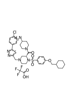 NC1CCN(C(=O)[C@@H]2CN(Cc3nnc(-c4ccc(Cl)cc4)s3)CCN2S(=O)(=O)c2ccc(OCC3CCCCC3)cc2)CC1.O=C(O)C(F)(F)F